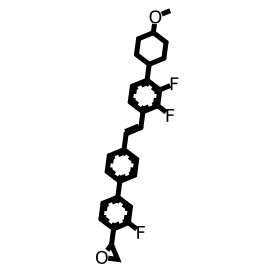 COC1CCC(c2ccc(/C=C/c3ccc(-c4ccc(C5CO5)c(F)c4)cc3)c(F)c2F)CC1